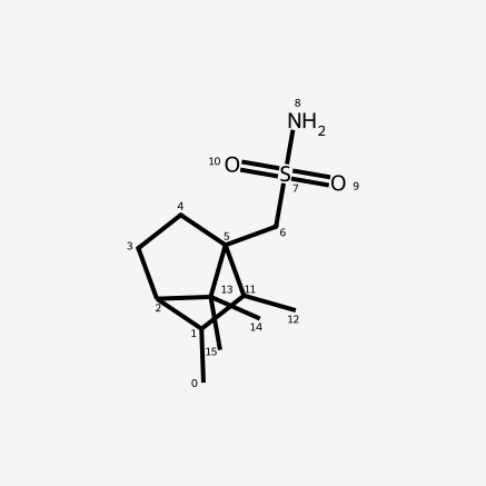 CC1C2CCC(CS(N)(=O)=O)(C1C)C2(C)C